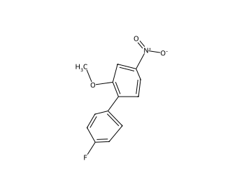 COc1cc([N+](=O)[O-])ccc1-c1ccc(F)cc1